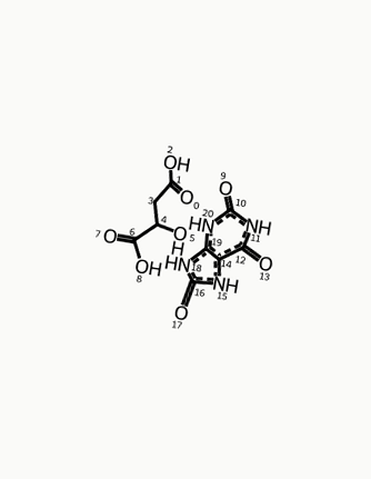 O=C(O)CC(O)C(=O)O.O=c1[nH]c(=O)c2[nH]c(=O)[nH]c2[nH]1